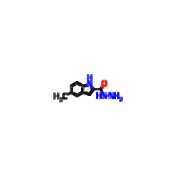 Cc1ccc2[nH]c(C(=O)NN)cc2c1